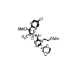 COCCn1c(NS(=O)(=O)[C@@H](C)[C@H](OC)c2ncc(Cl)cn2)nnc1[C@H]1COCCO1